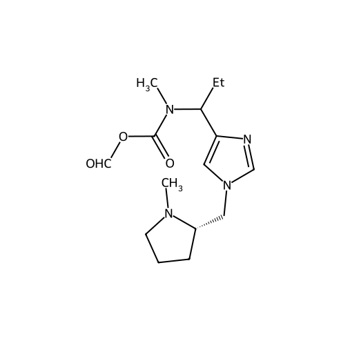 CCC(c1cn(C[C@@H]2CCCN2C)cn1)N(C)C(=O)OC=O